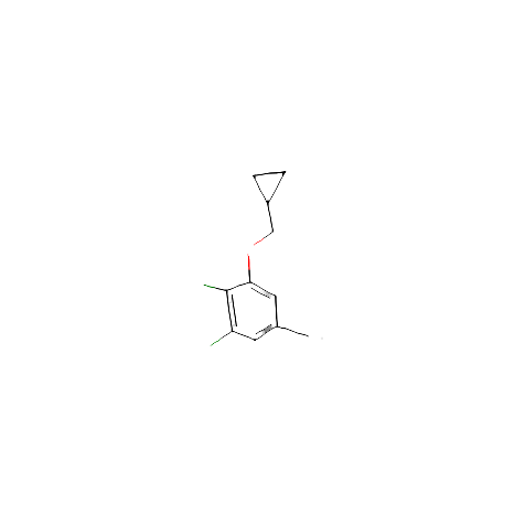 CC(C)(C)c1cc(F)c(F)c(OCC2CC2)c1